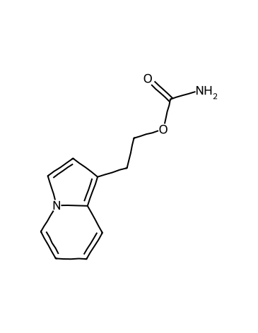 NC(=O)OCCc1ccn2ccccc12